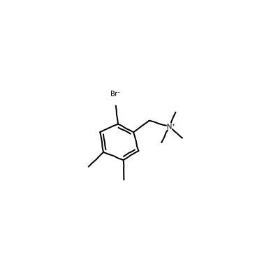 Cc1cc(C)c(C[N+](C)(C)C)cc1C.[Br-]